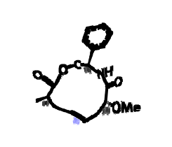 CO[C@@H]1C/C=C/C[C@@H](C)C(=O)OC[C@@H](c2ccccc2)NC1=O